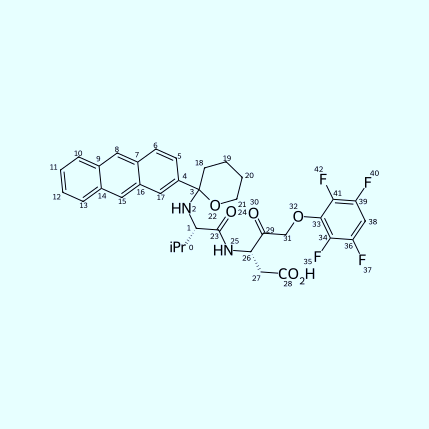 CC(C)[C@H](NC1(c2ccc3cc4ccccc4cc3c2)CCCCO1)C(=O)N[C@@H](CC(=O)O)C(=O)COc1c(F)c(F)cc(F)c1F